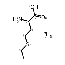 CCSCCC(N)C(=O)O.P